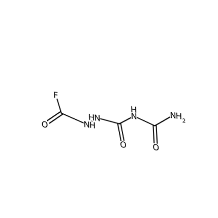 NC(=O)NC(=O)NNC(=O)F